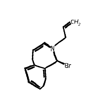 C=CCN1C=Cc2ccccc2C1Br